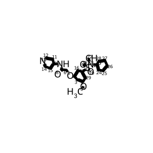 COc1cc(OCC(=O)Nc2ccncc2)cc(S(=O)(=O)N(C)c2ccccc2)c1